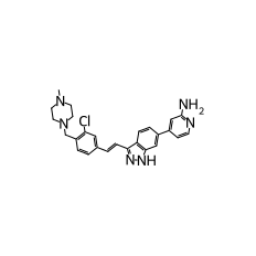 CN1CCN(Cc2ccc(C=Cc3n[nH]c4cc(-c5ccnc(N)c5)ccc34)cc2Cl)CC1